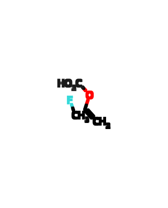 C=COC(=O)O.CF